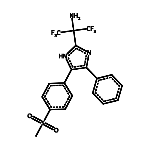 CS(=O)(=O)c1ccc(-c2[nH]c(C(N)(C(F)(F)F)C(F)(F)F)nc2-c2ccccc2)cc1